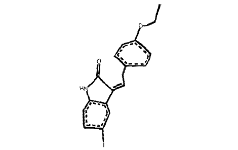 CCOc1ccc(C=C2C(=O)Nc3ccc(I)cc32)cc1